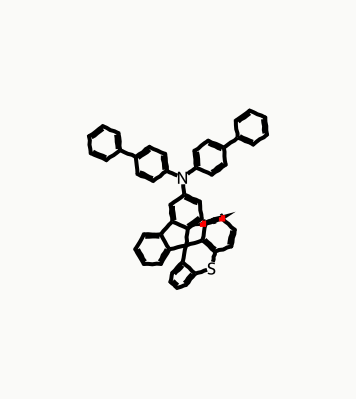 c1ccc(-c2ccc(N(c3ccc(-c4ccccc4)cc3)c3ccc4c(c3)-c3ccccc3C43c4ccccc4Sc4ccc5ccccc5c43)cc2)cc1